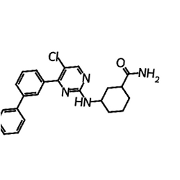 NC(=O)C1CCCC(Nc2ncc(Cl)c(-c3cccc(-c4ccccc4)c3)n2)C1